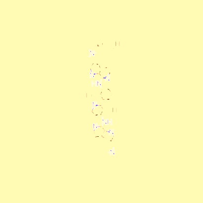 Cc1c(Nc2nccc3cc(CN4CC[C@H](C(=O)O)C4)cnc23)cccc1-c1nccc(Nc2nccc3cc(CN4CCCC4)cnc23)c1C